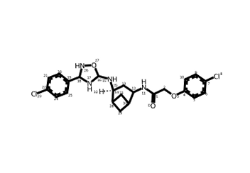 O=C(COc1ccc(Cl)cc1)NC1C[C@H](NC2NC(c3ccc(Cl)cc3)NO2)C2CC1C2